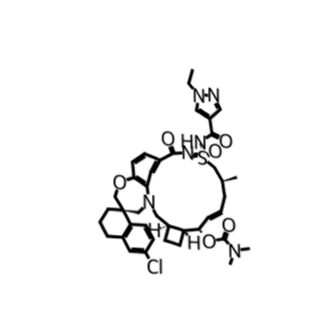 CCn1cc(C(=O)N[S@@]2(=O)=NC(=O)c3ccc4c(c3)N(C[C@@H]3CC[C@H]3[C@@H](OC(=O)N(C)C)/C=C/C[C@H](C)C2)C[C@@]2(CCCc3cc(Cl)ccc32)CO4)cn1